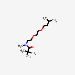 CC(C)CCOCCOCCN(C)C(=O)C(C)(C)C